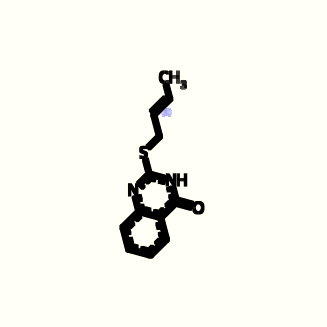 C/C=C/CSc1nc2ccccc2c(=O)[nH]1